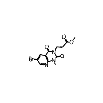 COC(=O)CCn1c(=O)c2cc(Br)cnc2n(C)c1=O